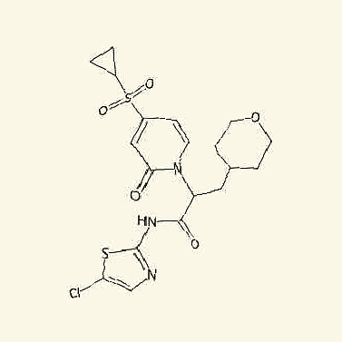 O=C(Nc1ncc(Cl)s1)C(CC1CCOCC1)n1ccc(S(=O)(=O)C2CC2)cc1=O